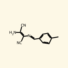 Cc1ccc(/C=N/C(C#N)=C(/N)C#N)cc1